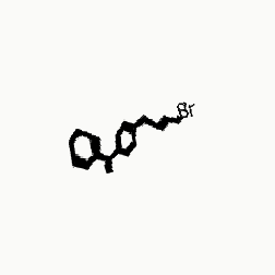 C=C(c1ccccc1)c1ccc(CCCCBr)cc1